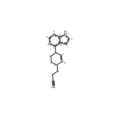 N#CCCN1CCC(c2ncnc3[nH]ccc23)C=N1